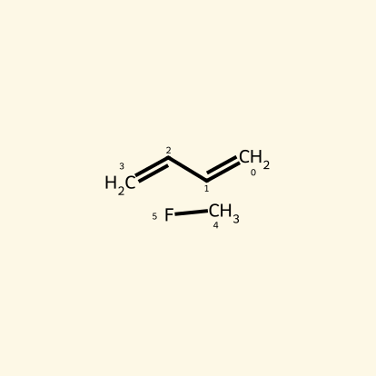 C=CC=C.CF